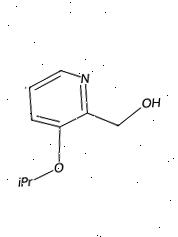 CC(C)Oc1c[c]cnc1CO